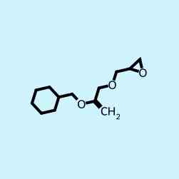 C=C(COCC1CO1)OCC1CCCCC1